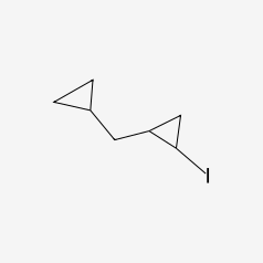 IC1CC1CC1CC1